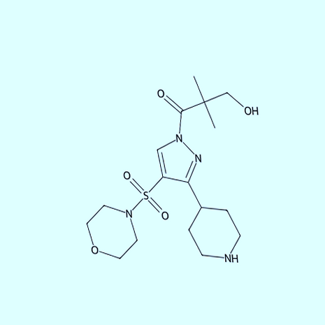 CC(C)(CO)C(=O)n1cc(S(=O)(=O)N2CCOCC2)c(C2CCNCC2)n1